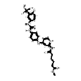 COC(=O)CCCCC(=O)Nc1cc(Oc2ccc(NC(=O)Nc3ccc(Cl)c(C(F)(F)F)c3)cc2)ccn1